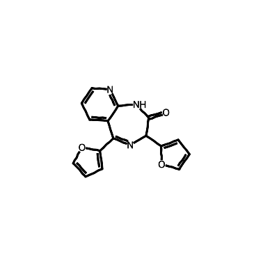 O=C1Nc2ncccc2C(c2ccco2)=NC1c1ccco1